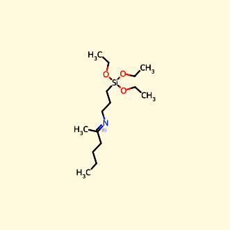 CCCC/C(C)=N/CCC[Si](OCC)(OCC)OCC